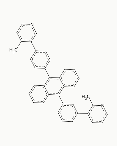 Cc1ccncc1-c1ccc(-c2c3ccccc3c(-c3cccc(-c4cccnc4C)c3)c3ccccc23)cc1